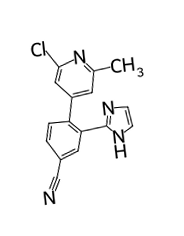 Cc1cc(-c2ccc(C#N)cc2-c2ncc[nH]2)cc(Cl)n1